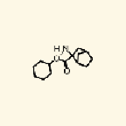 NC1(C(=O)OC2CCCCC2)CC2CCC1C2